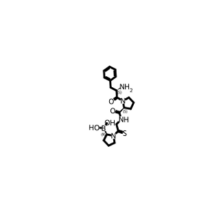 N[C@@H](Cc1ccccc1)C(=O)N1CCC[C@H]1C(=O)NCC(=S)N1CCC[C@H]1B(O)O